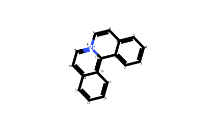 c1ccc2c(c1)cc[n+]1ccc3ccccc3c21